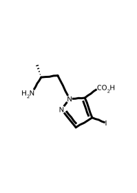 C[C@@H](N)Cn1ncc(I)c1C(=O)O